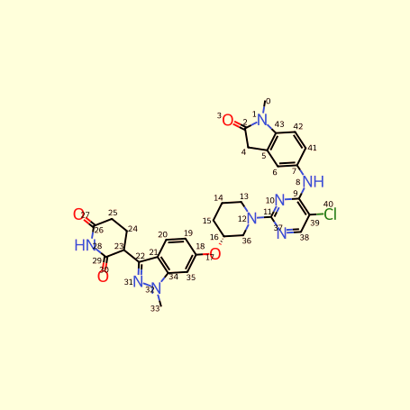 CN1C(=O)Cc2cc(Nc3nc(N4CCC[C@@H](Oc5ccc6c(C7CCC(=O)NC7=O)nn(C)c6c5)C4)ncc3Cl)ccc21